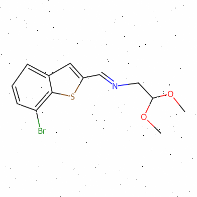 COC(CN=Cc1cc2cccc(Br)c2s1)OC